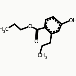 CCCOC(=O)c1ccc(O)cc1CCC